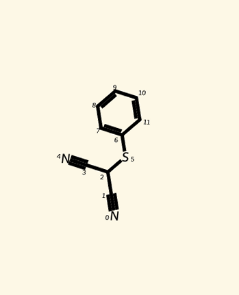 N#CC(C#N)Sc1ccccc1